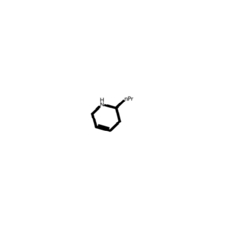 CCCC1CC=CCN1